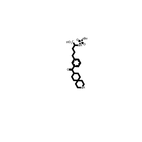 CCCCS(=O)(=O)NC(CCCc1cccc(C(=O)C2CCC3(CCNCC3)CC2)c1)C(=O)O